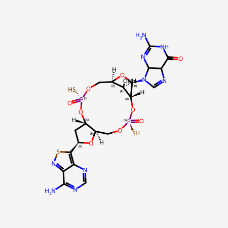 CO[C@H]1[C@H]2O[P@@](=O)(S)OC[C@H]3O[C@@H](c4snc5c(N)ncnc45)C[C@@H]3O[P@](=O)(S)OC[C@H]1O[C@H]2N1C=NC2C(=O)NC(N)=NC21